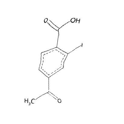 CC(=O)c1ccc(C(=O)O)c(I)c1